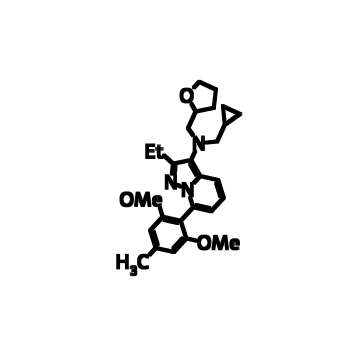 CCc1nn2c(-c3c(OC)cc(C)cc3OC)cccc2c1N(CC1CC1)CC1CCCO1